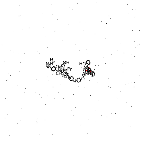 CC(C)[C@H](C(=O)N1C[C@H](O)C[C@H]1C(=O)N[C@@H](C)c1ccc(-n2ccnc2N)cc1)c1cc(N2CCC(CN3CCC(O[C@H]4C[C@H](Oc5cc(N6C7CCC6CN(c6cc(-c8ccccc8O)nnc6N)C7)ccn5)C4)CC3)CC2)no1